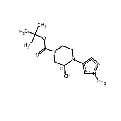 C[C@H]1CN(C(=O)OC(C)(C)C)CCN1c1cnn(C)c1